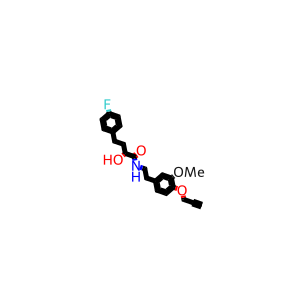 C#CCOc1ccc(CCNC(=O)C(O)CCc2ccc(F)cc2)cc1OC